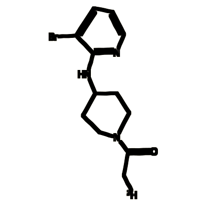 [2H]CC(=O)N1CCC(Nc2ncccc2Br)CC1